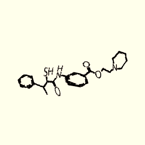 CC(c1ccccc1)C(S)C(=O)Nc1cccc(C(=O)OCCN2CCCCC2)c1